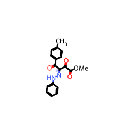 COC(=O)C(=O)/C(=N/Nc1ccccc1)C(=O)c1ccc(C)cc1